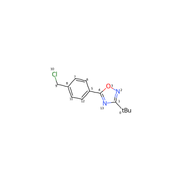 CC(C)(C)c1noc(-c2ccc(CCl)cc2)n1